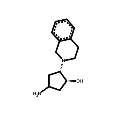 NC1C[C@H](O)[C@@H](N2CCc3ccccc3C2)C1